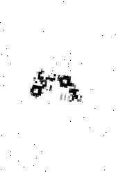 CCc1nc2ccccc2c(=O)n1CCOc1ccc(SC(C)(C)C(=O)O)cc1